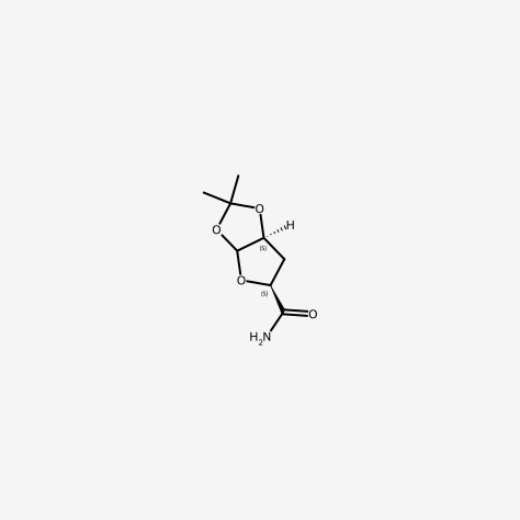 CC1(C)OC2O[C@H](C(N)=O)C[C@@H]2O1